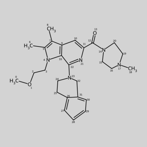 COCCn1c(C)c(C)c2cc(C(=O)N3CCN(C)CC3)nc(N3CCc4ccccc4C3)c21